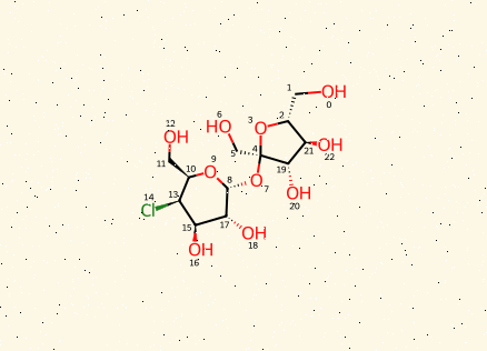 OC[C@H]1O[C@](CO)(O[C@H]2O[C@H](CO)[C@H](Cl)[C@H](O)[C@H]2O)[C@@H](O)[C@@H]1O